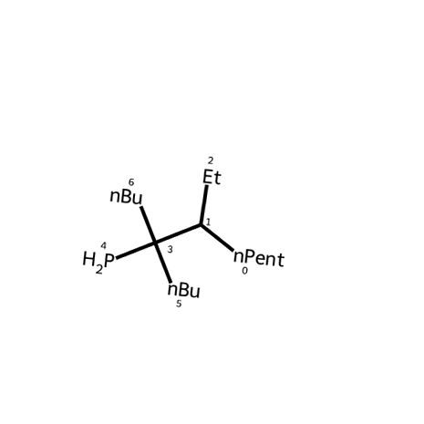 CCCCCC(CC)C(P)(CCCC)CCCC